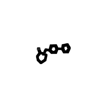 O=C1CCCCCN1Cc1ccc(-c2ccccc2)cc1